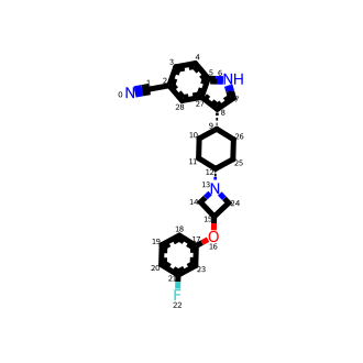 N#Cc1ccc2[nH]cc([C@H]3CC[C@@H](N4CC(Oc5cccc(F)c5)C4)CC3)c2c1